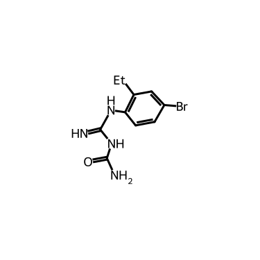 CCc1cc(Br)ccc1NC(=N)NC(N)=O